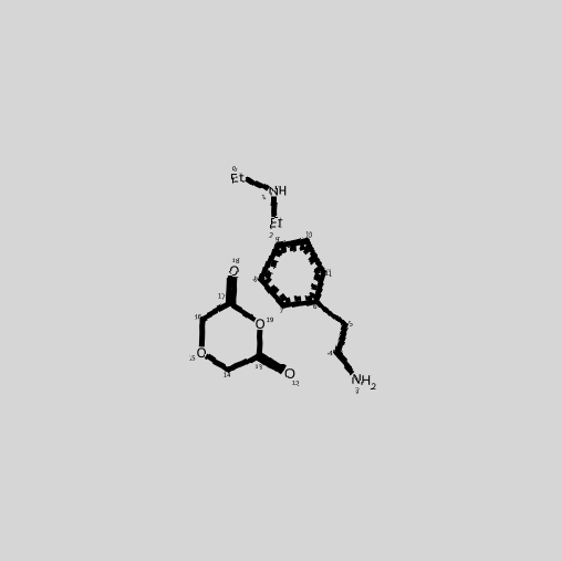 CCNCC.NCCc1ccccc1.O=C1COCC(=O)O1